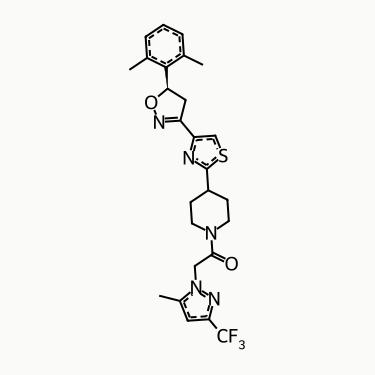 Cc1cccc(C)c1[C@H]1CC(c2csc(C3CCN(C(=O)Cn4nc(C(F)(F)F)cc4C)CC3)n2)=NO1